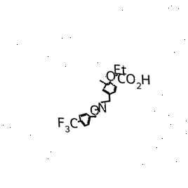 CCC(Oc1ccc(CC=NOCc2ccc(C(F)(F)F)cc2)cc1C)C(=O)O